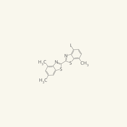 Cc1cc(C)c2nc(-c3nc4c(I)ccc(C)c4s3)sc2c1